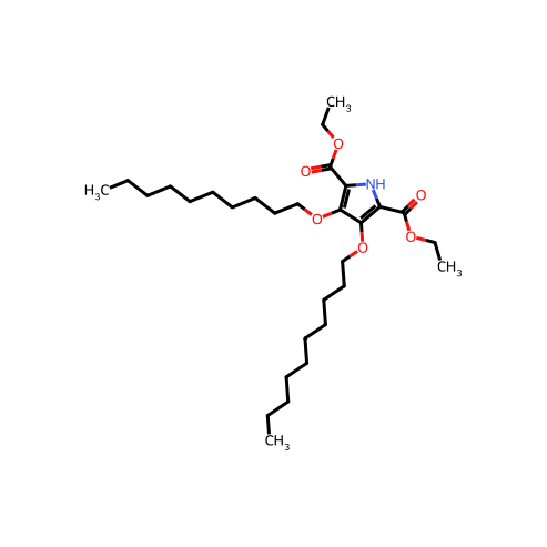 CCCCCCCCCCOc1c(C(=O)OCC)[nH]c(C(=O)OCC)c1OCCCCCCCCCC